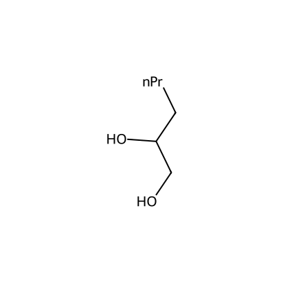 C[CH]CCC(O)CO